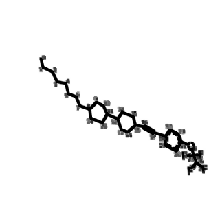 CCCCCCCCC1CCC(C2CCC(C#Cc3ccc(OC(F)(F)C(F)F)cc3)CC2)CC1